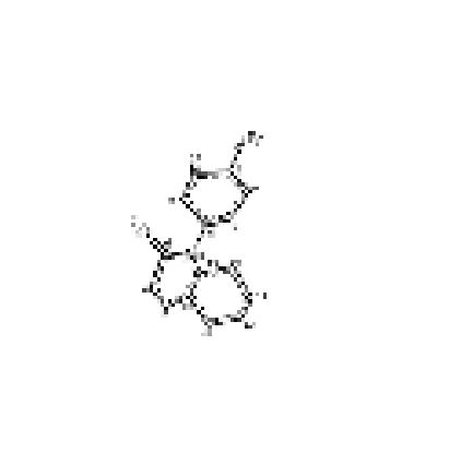 CC(C)c1ccc(-n2c(=O)ccc3ccccc32)cn1